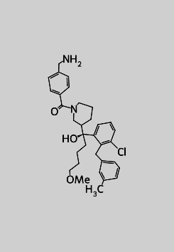 COCCCC[C@@](O)(c1cccc(Cl)c1Cc1cccc(C)c1)C1CCCN(C(=O)c2ccc(CN)cc2)C1